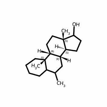 CC1C[C@@H]2[C@@H](CC[C@]3(C)C(O)CC[C@@H]23)[C@@]2(C)CCCCC12